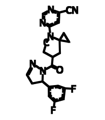 N#Cc1cc(N2CCC(C(=O)N3N=CCC3c3cc(F)cc(F)c3)CC23CC3)ncn1